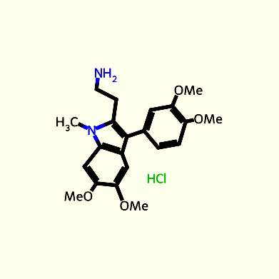 COc1ccc(-c2c(CCN)n(C)c3cc(OC)c(OC)cc23)cc1OC.Cl